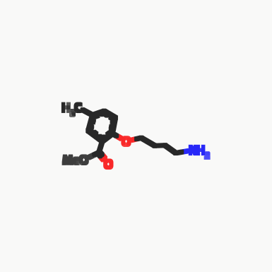 COC(=O)c1cc(C)ccc1OCCCCN